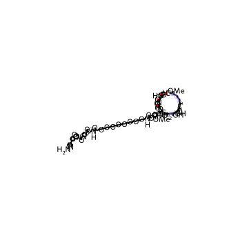 CO[C@H]1C[C@@H]2CC[C@@H](C)[C@@](O)(O2)C(=O)C(=O)N2CCCC[C@H]2C(=O)O[C@H]([C@H](N)C[C@@H]2CC[C@@H](OC(=O)NCCOCCOCCOCCOCCOCCOCCOCCOCCC(=O)NCC[S+]([O-])c3ccc(C(=O)N4CCOc5ccc(-c6ccc(N)nc6)cc5C4)c(C)c3)[C@H](OC)C2)C[C@@H](O)[C@H](C)/C=C(\C)[C@@H](O)[C@@H](O)C(=O)[C@H](C)C[C@H](C)/C=C/C=C/C=C/1C